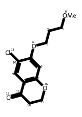 COCCCOc1cc2c(cc1Cl)C(=O)CCO2